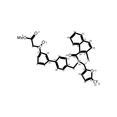 COC(=O)C[S+]([O-])c1cccc(-c2ccc(CN(Cc3ccc(C(F)(F)F)o3)C(=O)c3c(C)ccc4ccccc34)cc2)c1